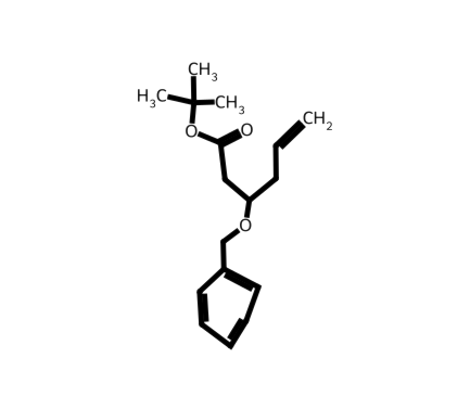 C=CCC(CC(=O)OC(C)(C)C)OCc1ccccc1